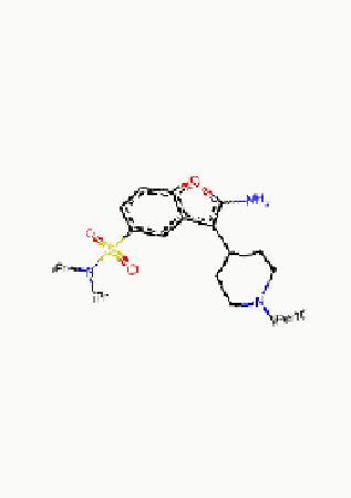 CCCC(C)N1CCC(c2c(N)oc3ccc(S(=O)(=O)N(C(C)C)C(C)C)cc23)CC1